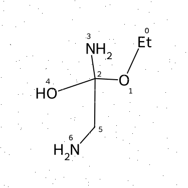 CCOC(N)(O)CN